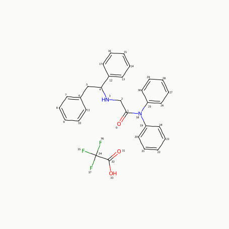 O=C(CNC(Cc1ccccc1)c1ccccc1)N(c1ccccc1)c1ccccc1.O=C(O)C(F)(F)F